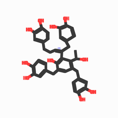 CC(O)c1c(Cc2ccc(O)c(O)c2)cc(Cc2ccc(O)c(O)c2)c(O)c1/C(=C\CCc1ccc(O)c(O)c1)Cc1ccc(O)c(O)c1